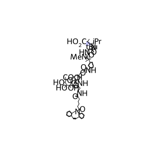 CN[C@H](C(=O)NC(C(=O)N(C)[C@H](/C=C(\C)C(=O)O)C(C)C)C(C)(C)C)C(C)(C)c1cccc(NC(=O)OCc2cc(C)c(OC3OC(C(=O)O)C(O)C(O)C3O)c(NC(=O)CCNC(=O)CCCCC(=O)N3Cc4ccccc4C#Cc4ccccc43)c2)c1